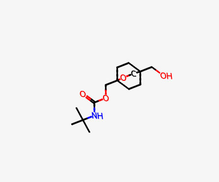 CC(C)(C)NC(=O)OCC12CCC(CO)(CC1)CO2